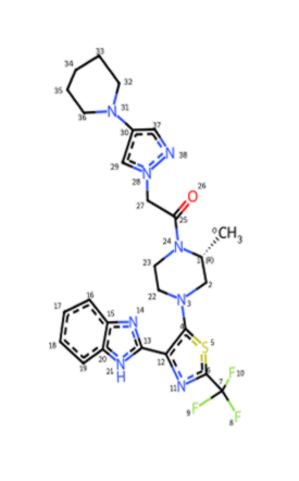 C[C@@H]1CN(c2sc(C(F)(F)F)nc2-c2nc3ccccc3[nH]2)CCN1C(=O)Cn1cc(N2CCCCC2)cn1